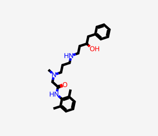 Cc1cccc(C)c1NC(=O)CN(C)CCCNCCC(O)Cc1ccccc1